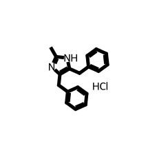 Cc1nc(Cc2ccccc2)c(Cc2ccccc2)[nH]1.Cl